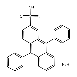 O=S(=O)(O)c1ccc2c(-c3ccccc3)c3ccccc3c(-c3ccccc3)c2c1.[NaH]